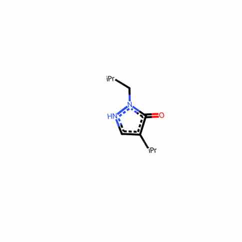 CC(C)Cn1[nH]cc(C(C)C)c1=O